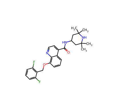 CC1(C)CC(NC(=O)c2ccnc3c(OCc4c(F)cccc4F)cccc23)CC(C)(C)N1